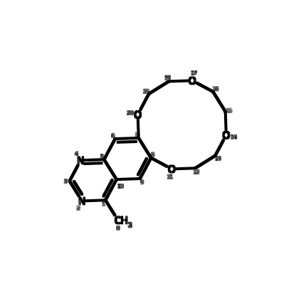 Cc1ncnc2cc3c(cc12)OCCOCCOCCO3